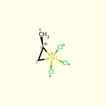 C[C@@H]1C[SH]1(Cl)(Cl)Cl